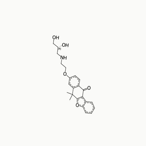 CC1(C)c2cc(OCCNC[C@@H](O)CO)ccc2C(=O)c2c1oc1ccccc21